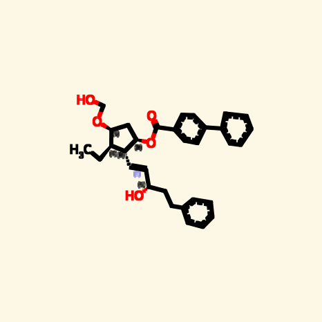 CC[C@@H]1[C@@H](/C=C/[C@@H](O)CCc2ccccc2)[C@H](OC(=O)c2ccc(-c3ccccc3)cc2)C[C@@H]1OCO